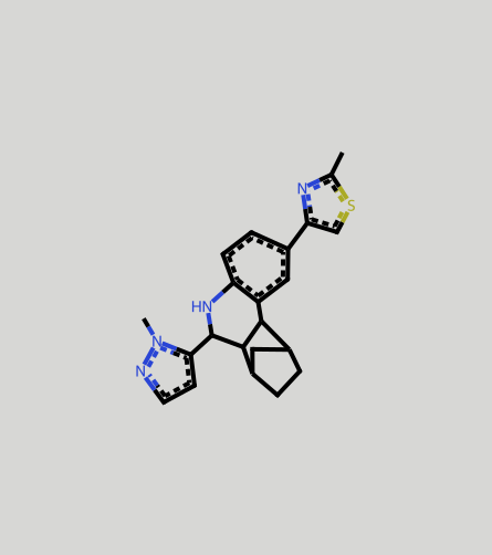 Cc1nc(-c2ccc3c(c2)C2C4CCC(C4)C2C(c2ccnn2C)N3)cs1